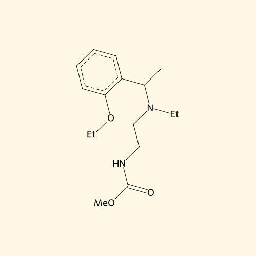 CCOc1ccccc1C(C)N(CC)CCNC(=O)OC